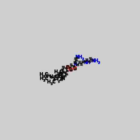 CC(C)CCC[C@@H](C)[C@H]1CC[C@H]2[C@@H]3CC=C4C[C@@H](OC(=O)CC(=O)N(CCCN)CCCCNCCCN)CC[C@]4(C)C3CC[C@]12C